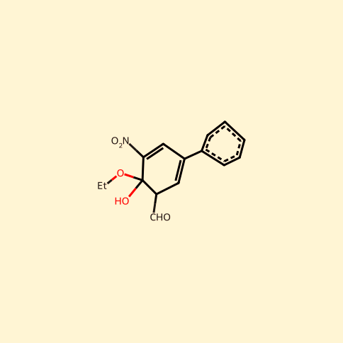 CCOC1(O)C([N+](=O)[O-])=CC(c2ccccc2)=CC1C=O